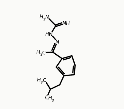 C/C(=N\NC(=N)N)c1cccc(CC(C)C)c1